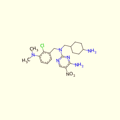 CN(C)c1cccc(CN(CC2CCC(N)CC2)c2ncc([N+](=O)[O-])c(N)n2)c1Cl